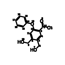 O=[N+]([O-])c1cc(CO)c(CO)cc1Oc1ccccc1